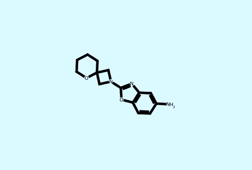 Nc1ccc2oc(N3CC4(CCCCO4)C3)nc2c1